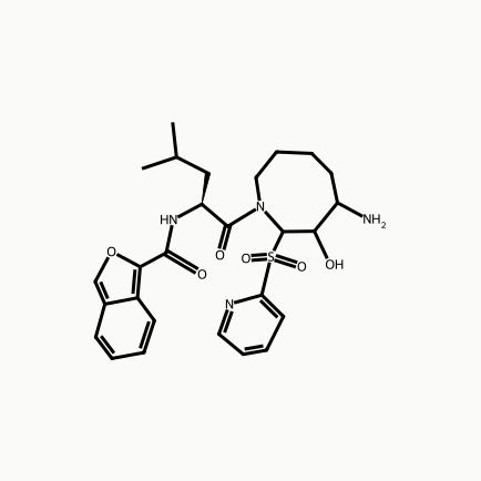 CC(C)C[C@H](NC(=O)c1occ2ccccc12)C(=O)N1CCCCC(N)C(O)C1S(=O)(=O)c1ccccn1